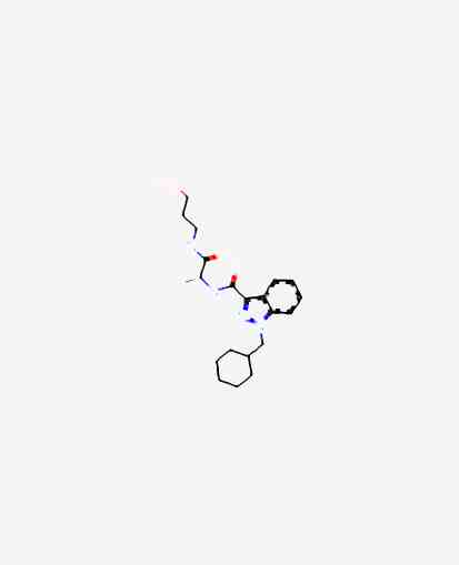 CC(C)(C)[C@H](NC(=O)c1nn(CC2CCCCC2)c2ccccc12)C(=O)NCCCO